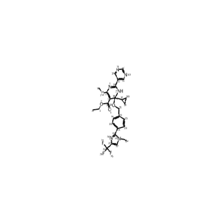 CCOC(=O)C1=C(OC)N=C(c2cncnc2)NC1(OCc1ccc(-c2nc(C(F)(F)F)cn2C)cc1)C1CC1